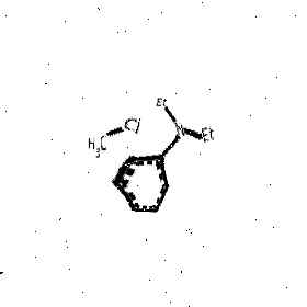 CCN(CC)c1ccccc1.CCl